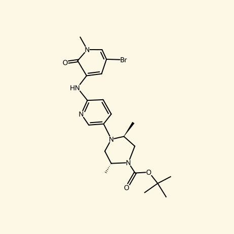 C[C@@H]1CN(c2ccc(Nc3cc(Br)cn(C)c3=O)nc2)[C@@H](C)CN1C(=O)OC(C)(C)C